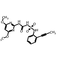 CC#Cc1ccccc1NS(=O)(=O)NC(=O)Nc1nc(OC)cc(OC)n1